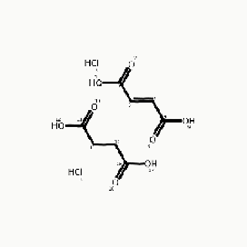 Cl.Cl.O=C(O)C=CC(=O)O.O=C(O)CCC(=O)O